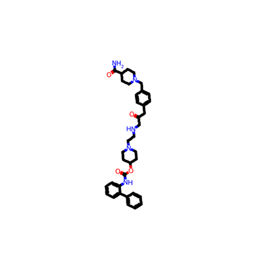 NC(=O)C1CCN(Cc2ccc(CC(=O)CNCCN3CCC(OC(=O)Nc4ccccc4-c4ccccc4)CC3)cc2)CC1